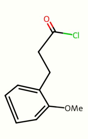 COc1ccccc1CCC(=O)Cl